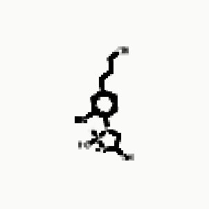 N#CCCCc1ccc(N2CC(O)NS2(O)O)c(O)c1